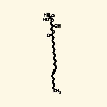 CCCCCCC#CCCCCCCCCCCCC(=O)OCC(O)COP(=O)(O)O